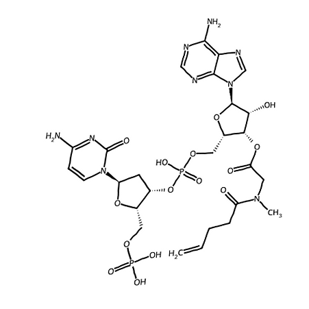 C=CCCC(=O)N(C)CC(=O)O[C@H]1[C@@H](O)[C@H](n2cnc3c(N)ncnc32)O[C@H]1COP(=O)(O)O[C@H]1C[C@H](n2ccc(N)nc2=O)O[C@H]1COP(=O)(O)O